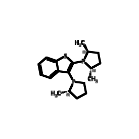 C[C@H]1CCCP1c1c(P2[C@@H](C)CC[C@@H]2C)sc2ccccc12